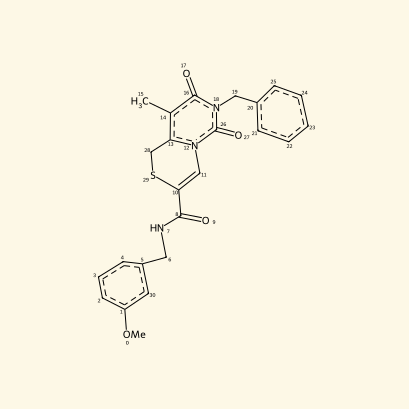 COc1cccc(CNC(=O)C2=Cn3c(c(C)c(=O)n(Cc4ccccc4)c3=O)CS2)c1